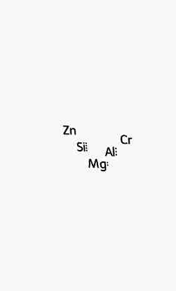 [Al].[Cr].[Mg].[Si].[Zn]